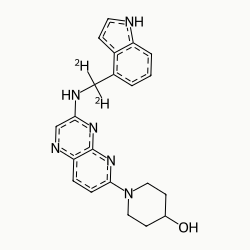 [2H]C([2H])(Nc1cnc2ccc(N3CCC(O)CC3)nc2n1)c1cccc2[nH]ccc12